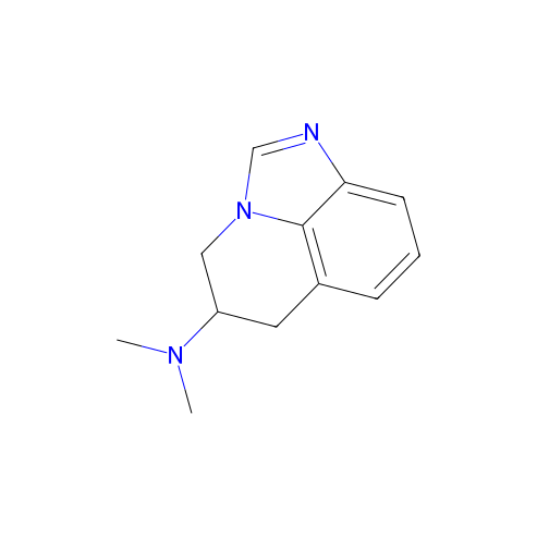 CN(C)C1Cc2cccc3ncn(c23)C1